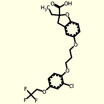 CCC1(C(=O)O)Cc2cc(OCCCOc3ccc(OCC(F)(F)F)cc3Cl)ccc2O1